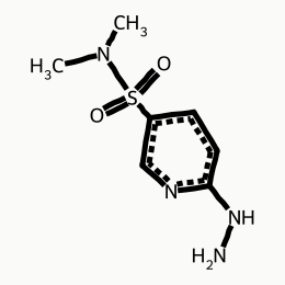 CN(C)S(=O)(=O)c1ccc(NN)nc1